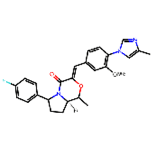 COc1cc(C=C2OC(C)[C@H]3CCC(c4ccc(F)cc4)N3C2=O)ccc1-n1cnc(C)c1